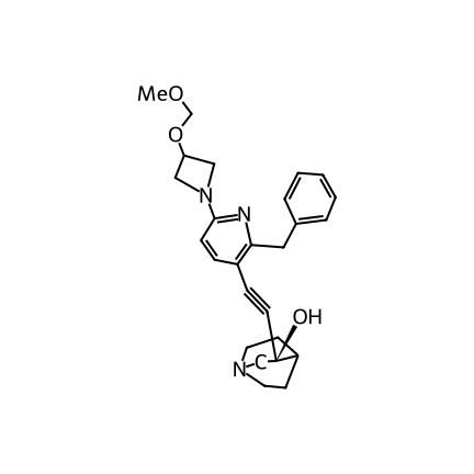 COCOC1CN(c2ccc(C#C[C@@]3(O)CN4CCC3CC4)c(Cc3ccccc3)n2)C1